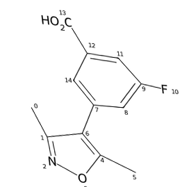 Cc1noc(C)c1-c1cc(F)cc(C(=O)O)c1